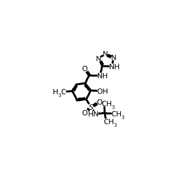 Cc1cc(C(=O)Nc2nnn[nH]2)c(O)c(S(=O)(=O)NC(C)(C)C)c1